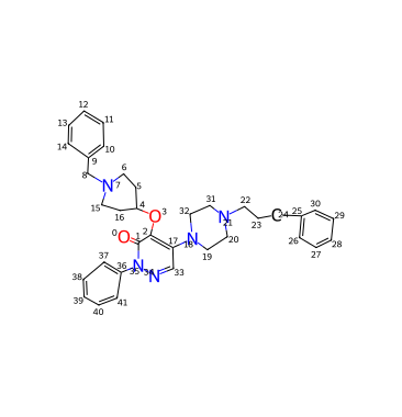 O=c1c(OC2CCN(Cc3ccccc3)CC2)c(N2CCN(CCCc3ccccc3)CC2)cnn1-c1ccccc1